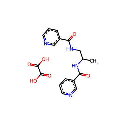 CC(CNC(=O)c1cccnc1)NC(=O)c1cccnc1.O=C(O)C(=O)O